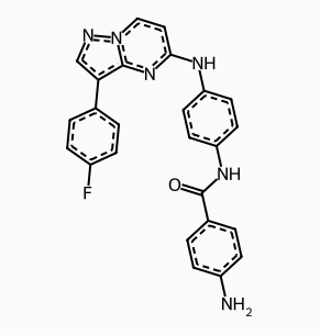 Nc1ccc(C(=O)Nc2ccc(Nc3ccn4ncc(-c5ccc(F)cc5)c4n3)cc2)cc1